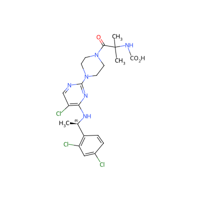 C[C@@H](Nc1nc(N2CCN(C(=O)C(C)(C)NC(=O)O)CC2)ncc1Cl)c1ccc(Cl)cc1Cl